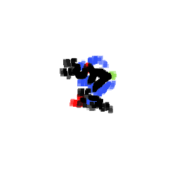 Cc1cc(Nc2nc(N[C@H](CC(C)C)[C@H](C)NC(=O)O)c(F)cc2C(N)=O)cnc1C